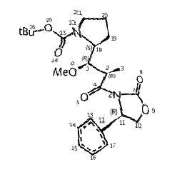 CO[C@H]([C@@H](C)C(=O)N1C(=O)OC[C@H]1c1ccccc1)[C@@H]1CCCN1C(=O)OC(C)(C)C